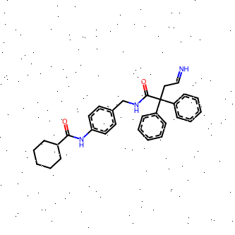 N=CCC(C(=O)NCc1ccc(NC(=O)C2CCCCC2)cc1)(c1ccccc1)c1ccccc1